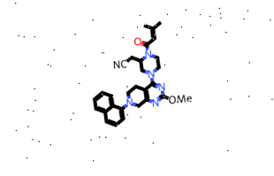 COc1nc2c(c(N3CCN(C(=O)C=C(C)C)C(CC#N)C3)n1)CCN(c1cccc3ccccc13)C2